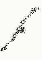 C=CC(=O)OCCCCCCOc1ccc(COc2ccc(OCc3ccc(OCCCCCCOC(=O)C=C)cc3)c(C(F)(F)F)c2C(F)(F)F)cc1